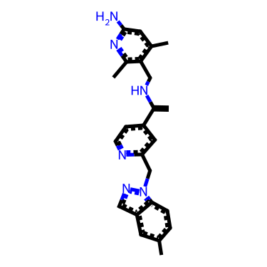 C=C(NCc1c(C)cc(N)nc1C)c1ccnc(Cn2ncc3cc(C)ccc32)c1